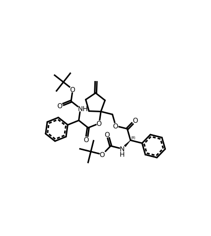 C=C1CCC(COC(=O)[C@H](NC(=O)OC(C)(C)C)c2ccccc2)(OC(=O)C(NC(=O)OC(C)(C)C)c2ccccc2)C1